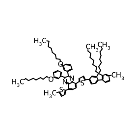 CCCCCCCCOc1cccc(C2N=c3c(-c4ccc(C)s4)ccc(-c4ccc(-c5ccc6c(c5)C(CCCCCCCC)(CCCCCCCC)c5cc(C)ccc5-6)s4)c3=NC2c2cccc(OCCCCCCCC)c2)c1